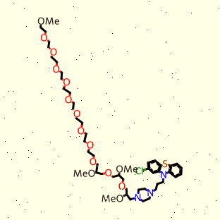 COCCOCCOCCOCCOCCOCCOCCOCCOCCOCC(COCC(COCC(CN1CCN(CCCN2c3ccccc3Sc3ccc(Cl)cc32)CC1)OC)OC)OC